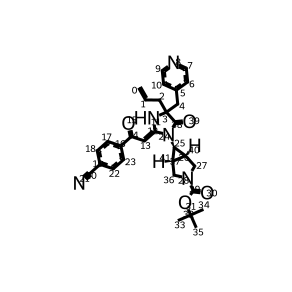 C=CCC1(Cc2ccncc2)NC(=CC(=O)c2ccc(C#N)cc2)N([C@H]2[C@@H]3CN(C(=O)OC(C)(C)C)C[C@@H]32)C1=O